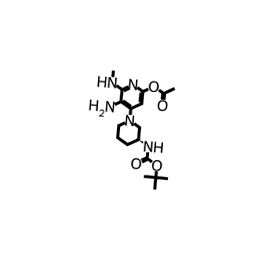 CNc1nc(OC(C)=O)cc(N2CCC[C@@H](NC(=O)OC(C)(C)C)C2)c1N